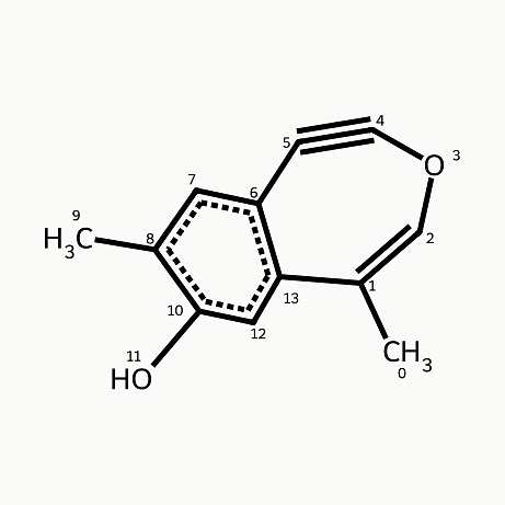 CC1=COC#Cc2cc(C)c(O)cc21